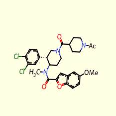 COc1ccc2oc(C(=O)N(C)[C@@H]3CCN(C(=O)C4CCN(C(C)=O)CC4)C[C@H]3c3ccc(Cl)c(Cl)c3)cc2c1